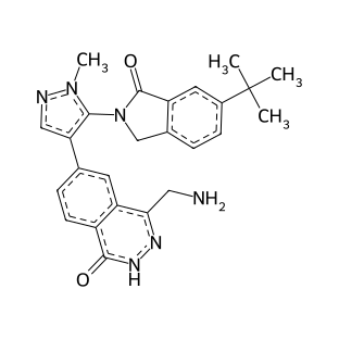 Cn1ncc(-c2ccc3c(=O)[nH]nc(CN)c3c2)c1N1Cc2ccc(C(C)(C)C)cc2C1=O